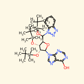 CC(C)(C)[Si](C)(C)OC([C@H]1O[C@@H](n2cnc3c(O)ncnc32)[C@H](O[Si](C)(C)C(C)(C)C)[C@@H]1O[Si](C)(C)C(C)(C)C)n1nnc2ccccc21